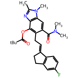 Cc1nc2c(OC(=O)C(C)(C)C)c(CC=C3CCc4cc(F)ccc43)c(C(=O)N(C)C)cc2n1C